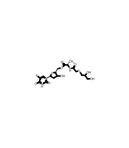 C[C@H](NC(=O)COCC(O)CO)C(=O)OC[C@@H]1O[C@H](n2cc(F)c(=O)[nH]c2=O)CC1O